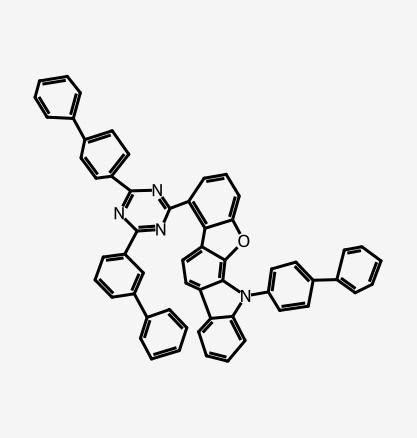 c1ccc(-c2ccc(-c3nc(-c4cccc(-c5ccccc5)c4)nc(-c4cccc5oc6c(ccc7c8ccccc8n(-c8ccc(-c9ccccc9)cc8)c76)c45)n3)cc2)cc1